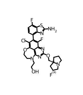 Nc1nc2c(-c3c(Cl)c4c5c(nc(OC[C@@]67CCCN6C[C@H](F)C7)nc5c3F)N(CCO)CCO4)ccc(F)c2s1